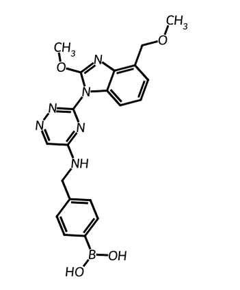 COCc1cccc2c1nc(OC)n2-c1nncc(NCc2ccc(B(O)O)cc2)n1